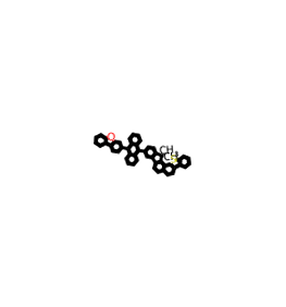 CC1(C)c2ccc(-c3c4ccccc4c(-c4ccc5c(c4)oc4ccccc45)c4ccccc34)cc2-c2ccc3ccc4c5ccccc5sc4c3c21